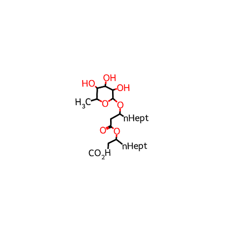 CCCCCCCC(CC(=O)O)OC(=O)CC(CCCCCCC)OC1OC(C)C(O)C(O)C1O